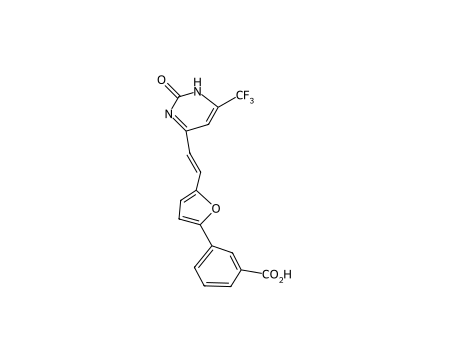 O=C(O)c1cccc(-c2ccc(/C=C/c3cc(C(F)(F)F)[nH]c(=O)n3)o2)c1